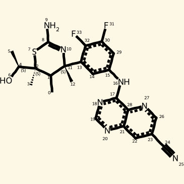 CC1[C@@](C)([C@H](C)O)SC(N)=N[C@]1(C)c1cc(Nc2ncnc3cc(C#N)cnc23)cc(F)c1F